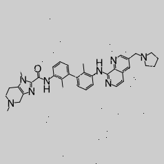 Cc1c(NC(=O)c2nc3c(n2C)CCN(C)C3)cccc1-c1cccc(Nc2nccc3cc(CN4CCCC4)cnc23)c1C